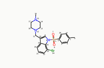 Cc1ccc(S(=O)(=O)n2cc(CN3CCN(C)CC3)c3cccc(Br)c32)cc1